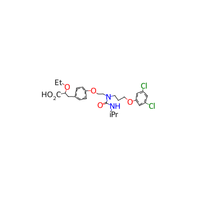 CCOC(Cc1ccc(OCCN(CCCOc2cc(Cl)cc(Cl)c2)C(=O)NC(C)C)cc1)C(=O)O